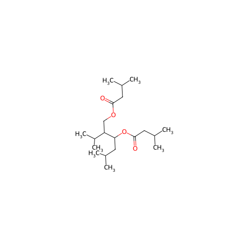 CC(C)CC(=O)OCC(C(C)C)C(CC(C)C)OC(=O)CC(C)C